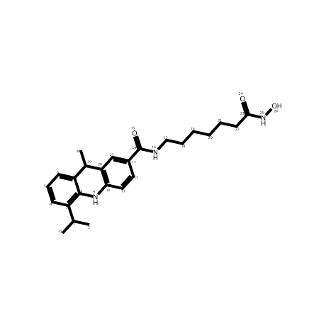 CC(C)c1cccc2c1Nc1ccc(C(=O)NCCCCCCC(=O)NO)cc1C2C